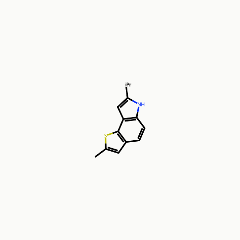 Cc1cc2ccc3[nH]c(C(C)C)cc3c2s1